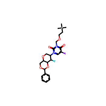 C[Si](C)(C)CCOCn1c(=O)c(I)cn(C2COC3COC(c4ccccc4)OC3C2F)c1=O